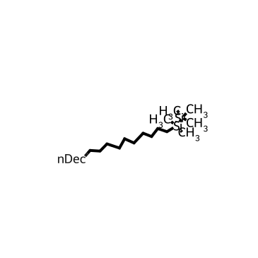 CCCCCCCCCCCCCCCCCCCC[Si](C)(C)[Si](C)(C)C